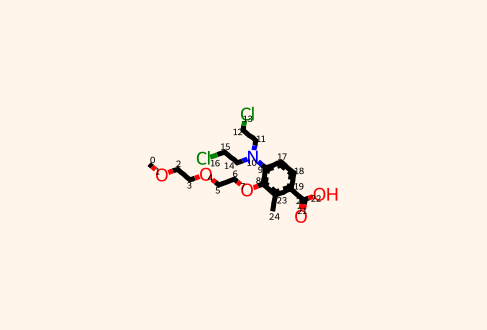 COCCOCCOc1c(N(CCCl)CCCl)ccc(C(=O)O)c1C